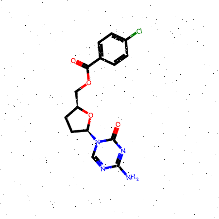 Nc1ncn([C@H]2CC[C@@H](COC(=O)c3ccc(Cl)cc3)O2)c(=O)n1